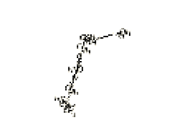 CCN[C@@H](CCCCNC(=O)COCCOCCNC(=O)COCCOCCNC(=O)CCC(NC(=O)CCCCCCCCCCCCC(=O)O)C(=O)O)C(=O)O